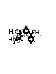 C=C(c1ccccc1)c1cccc([Si](CC)(CC)OCC)c1